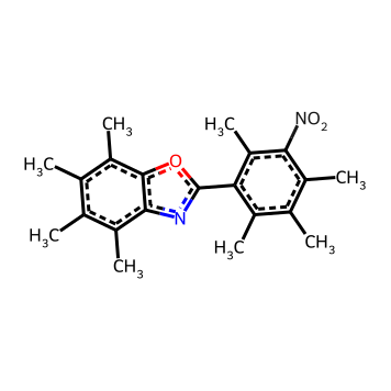 Cc1c(C)c(-c2nc3c(C)c(C)c(C)c(C)c3o2)c(C)c([N+](=O)[O-])c1C